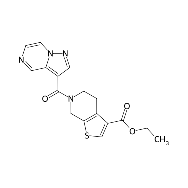 CCOC(=O)c1csc2c1CCN(C(=O)c1cnn3ccncc13)C2